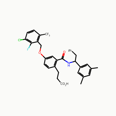 Cc1cc(C)cc(C(CC(C)C)NC(=O)c2cc(OCc3c(C(F)(F)F)ccc(Cl)c3F)ccc2CCC(=O)O)c1